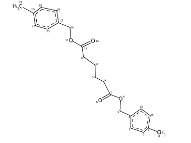 Cc1ccc(COC(=O)CCCCC(=O)OCc2ccc(C)cc2)cc1